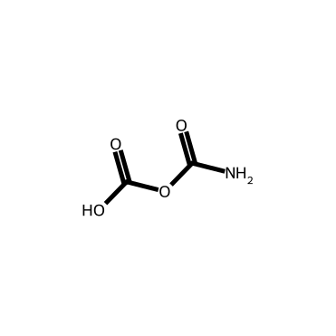 NC(=O)OC(=O)O